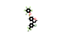 Fc1c(F)c(F)c(OSc2ccc3c(c2)OCCC3c2ccc(C(F)(F)F)cc2Cl)c(F)c1F